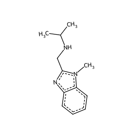 CC(C)NCc1nc2ccccc2n1C